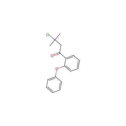 CC(C)(Cl)CC(=O)c1ccccc1Oc1ccccc1